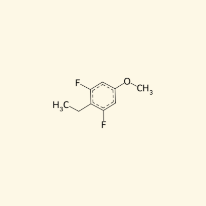 CCc1c(F)cc(OC)cc1F